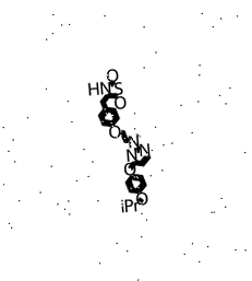 CC(C)Oc1ccc(Oc2ccnc(N(C)CCOc3ccc(CC4NC(=O)SC4=O)cc3)n2)cc1